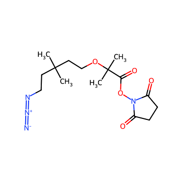 CC(C)(CCN=[N+]=[N-])CCOC(C)(C)C(=O)ON1C(=O)CCC1=O